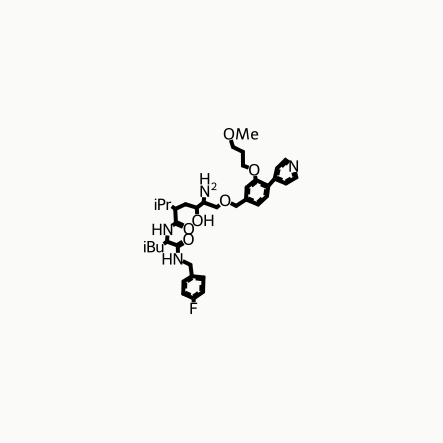 CCC(C)C(NC(=O)C(CC(O)C(N)COCc1ccc(-c2ccncc2)c(OCCCOC)c1)C(C)C)C(=O)NCc1ccc(F)cc1